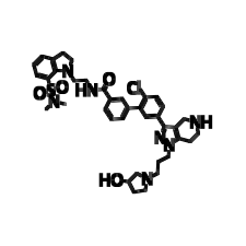 CN(C)S(=O)(=O)c1cccc2c1N(CCNC(=O)c1cccc(-c3cc(-c4nn(CCCN5CCC(O)C5)c5c4CNCC5)ccc3Cl)c1)CC2